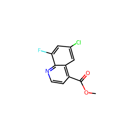 COC(=O)c1ccnc2c(F)cc(Cl)cc12